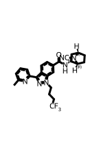 Cc1cccc(-c2nn(CCCC(F)(F)F)c3cc(C(=O)N[C@@H]4C[C@@H]5CC[C@H]4N5C#N)ccc23)n1